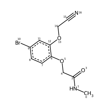 CNC(=O)COc1ccc(Br)cc1OCC#N